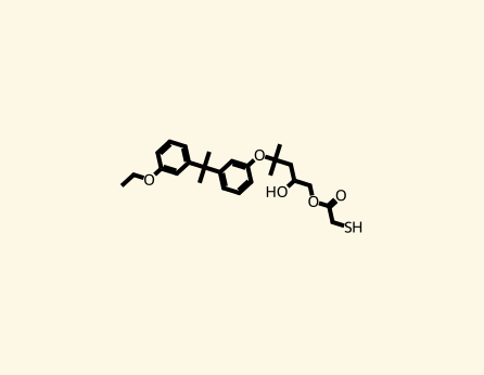 CCOc1cccc(C(C)(C)c2cccc(OC(C)(C)CC(O)COC(=O)CS)c2)c1